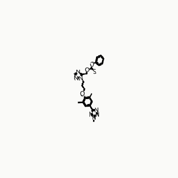 Cc1cc(-c2nnn(C)n2)cc(C)c1OCCCn1ncnc1COC(=S)Oc1ccccc1